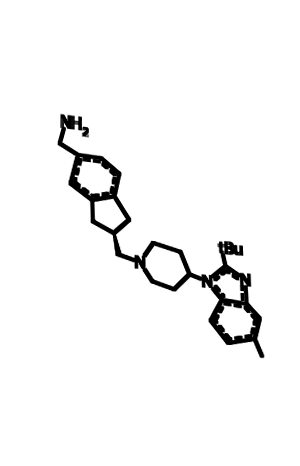 Cc1ccc2c(c1)nc(C(C)(C)C)n2C1CCN(C[C@@H]2Cc3ccc(CN)cc3C2)CC1